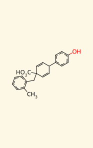 Cc1ccccc1CC1(C(=O)O)C=CC(c2ccc(O)cc2)C=C1